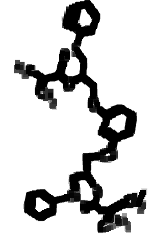 C=C(C)C(=O)OC(COc1cccc(OCC(CSc2ccccc2)OC(=O)C(=C)C)c1)CSc1ccccc1